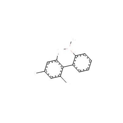 CC(C)c1cc(C(C)C)c(-c2ccccc2B(C(C)(C)C)C(C)(C)C)c(C(C)C)c1